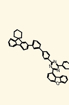 c1ccc(-c2nc(-c3ccc(-c4cccc(-c5ccc6c(c5)C5(CCCCC5)c5ccccc5-6)c4)cc3)nc(-c3cccc4oc5ccccc5c34)n2)cc1